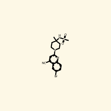 CC1(NS(C)(=O)=O)CCN(c2cc(C#N)c3cc(Br)ccc3n2)CC1